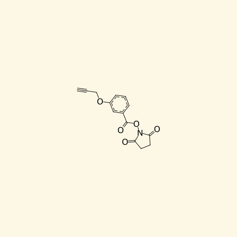 C#CCOc1cccc(C(=O)ON2C(=O)CCC2=O)c1